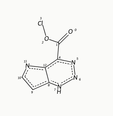 O=C(OCl)c1nn[nH]c2ccnc1-2